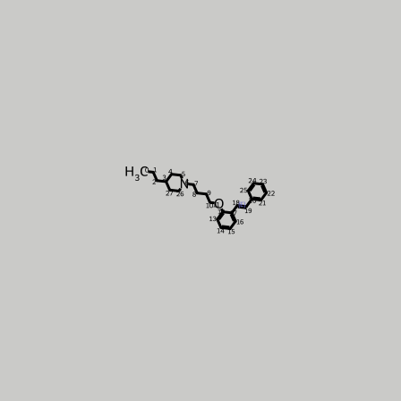 CCCC1CCN(CCCCOc2ccccc2/C=C/c2ccccc2)CC1